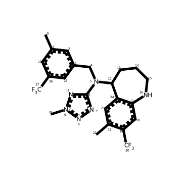 Cc1cc(CN(c2nnn(C)n2)C2CCCNc3cc(C(F)(F)F)c(C)cc32)cc(C(F)(F)F)c1